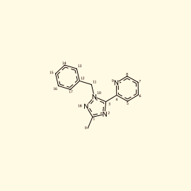 Cc1nc(-c2ccccn2)n(Cc2ccccc2)n1